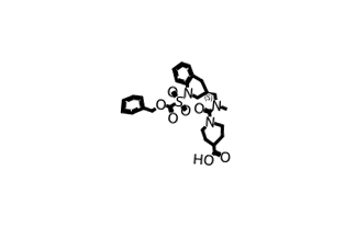 CN(C[C@@H]1Cc2ccccc2N(S(=O)(=O)C(=O)OCc2ccccc2)C1)C(=O)N1CCC(C(=O)O)CC1